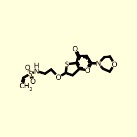 C=CS(=O)(=O)NCCOC1Cc2oc(N3CCOCC3)cc(=O)c2S1